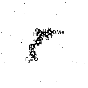 COc1ccc2c(c1F)C(=O)N(C[C@@]1(c3cc4nc(-c5ccnc(N6CCN(C(=O)C(F)(F)F)CC6)c5)ccc4o3)NC(=O)NC1=O)C2